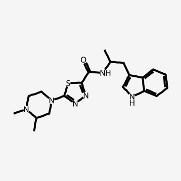 CC(Cc1c[nH]c2ccccc12)NC(=O)c1nnc(N2CCN(C)C(C)C2)s1